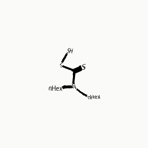 CCCCCCN(CCCCCC)C(=S)SS